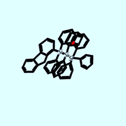 c1ccc([Si](c2ccccc2)(c2ccccc2)[Si](c2ccccc2)(c2ccccc2)[Si](c2ccccc2)(c2ccccc2)c2cccc3c2Cc2ccccc2-3)cc1